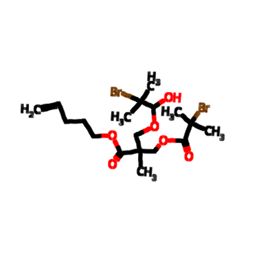 C=CCCCOC(=O)C(C)(COC(=O)C(C)(C)Br)COC(O)C(C)(C)Br